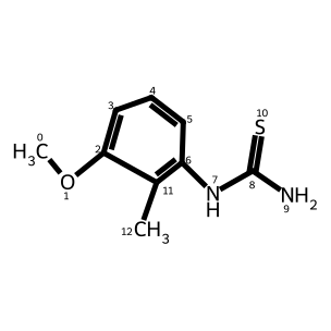 COc1cccc(NC(N)=S)c1C